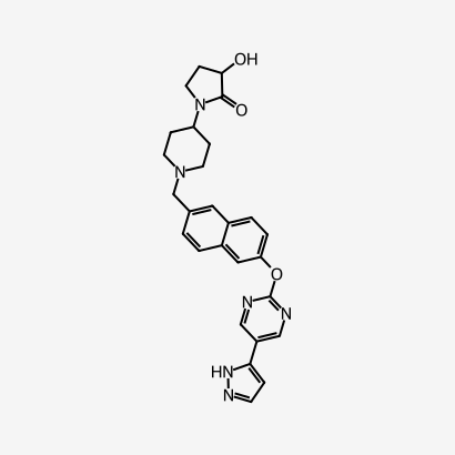 O=C1C(O)CCN1C1CCN(Cc2ccc3cc(Oc4ncc(-c5ccn[nH]5)cn4)ccc3c2)CC1